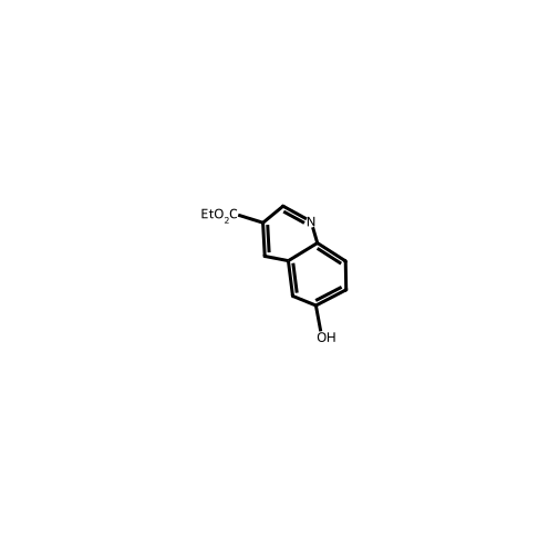 CCOC(=O)c1cnc2ccc(O)cc2c1